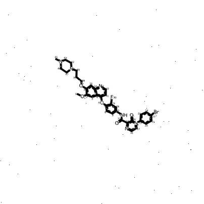 COc1cc2c(Oc3ccc(NC(=O)c4nccn(-c5ccc(Br)cc5)c4=O)cc3F)ccnc2cc1OCCCN1CCN(C)CC1